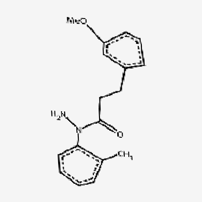 COc1cccc(CCC(=O)N(N)c2ccccc2C)c1